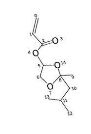 C=CC(=O)OC1COC(C)(CC(C)C)O1